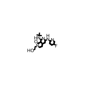 CC(C)(C)Nc1nc(Nc2ccc(F)cn2)cc2ccn(CCO)c(=O)c12